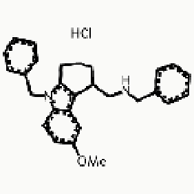 COc1ccc2c(c1)c1c(n2Cc2ccccc2)CCCC1CNCc1ccccc1.Cl